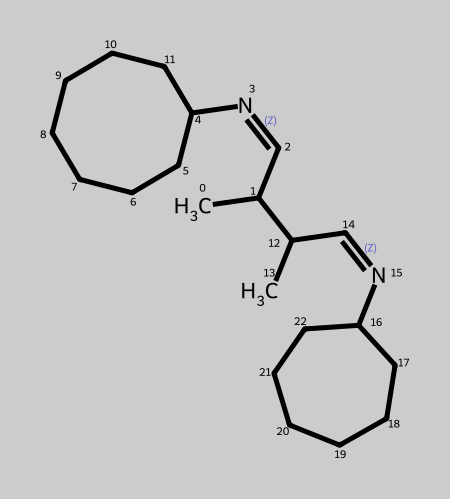 CC(/C=N\C1CCCCCCC1)C(C)/C=N\C1CCCCCC1